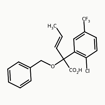 CC=CC(OCc1ccccc1)(C(=O)O)c1cc(C(F)(F)F)ccc1Cl